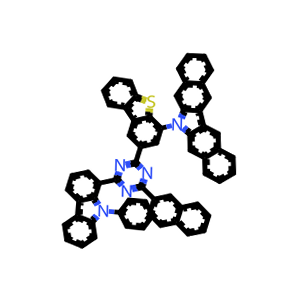 c1ccc(-n2c3ccccc3c3cccc(-c4nc(-c5ccc6ccccc6c5)nc(-c5cc(-n6c7cc8ccccc8cc7c7cc8ccccc8cc76)c6sc7ccccc7c6c5)n4)c32)cc1